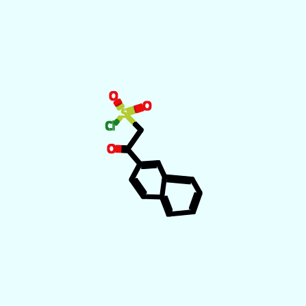 O=C(CS(=O)(=O)Cl)c1ccc2ccccc2c1